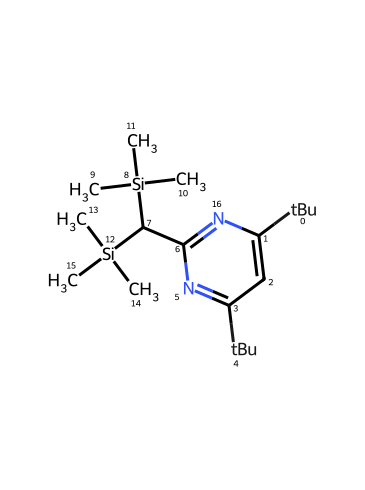 CC(C)(C)c1cc(C(C)(C)C)nc(C([Si](C)(C)C)[Si](C)(C)C)n1